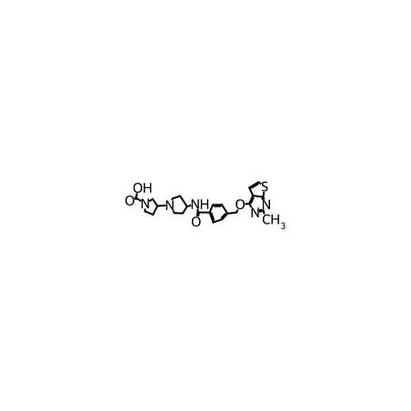 Cc1nc(OCc2ccc(C(=O)NC3CCN(C4CCN(C(=O)O)C4)CC3)cc2)c2ccsc2n1